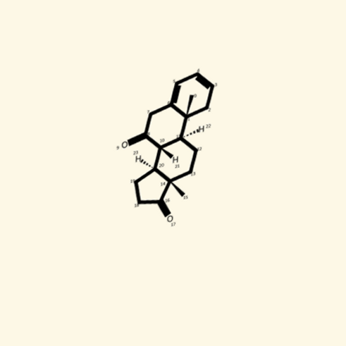 C[C@]12CC=CC=C1CC(=O)[C@@H]1[C@@H]2CC[C@]2(C)C(=O)CC[C@@H]12